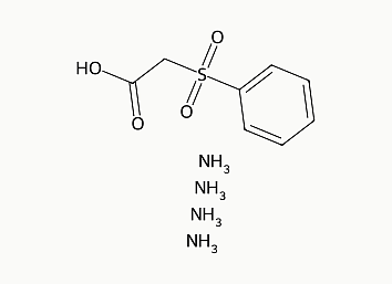 N.N.N.N.O=C(O)CS(=O)(=O)c1ccccc1